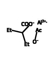 CC(=O)[O-].CCC(CC)C(=O)[O-].[Al+2]